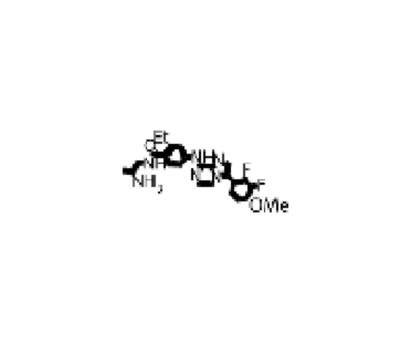 CCc1cc(Nc2nccn3c(-c4ccc(OC)c(F)c4F)cnc23)ccc1C(=O)NCC(C)N